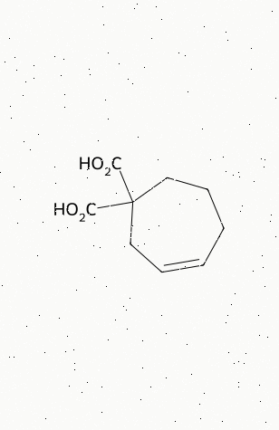 O=C(O)C1(C(=O)O)CC=CCCC1